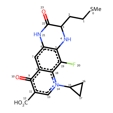 CSCCC1Nc2c(cc3c(=O)c(C(=O)O)cn(C4CC4)c3c2F)NC1=O